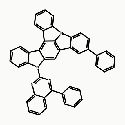 c1ccc(-c2ccc3c(c2)c2cc4c(c5ccccc5n4-c4nc(-c5ccccc5)c5ccccc5n4)c4c5ccccc5n3c24)cc1